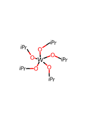 CC(C)[O][W]([O]C(C)C)([O]C(C)C)([O]C(C)C)[O]C(C)C